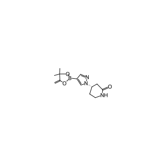 C=C1OB(c2cnn([C@H]3CCNC(=O)C3)c2)OC1(C)C